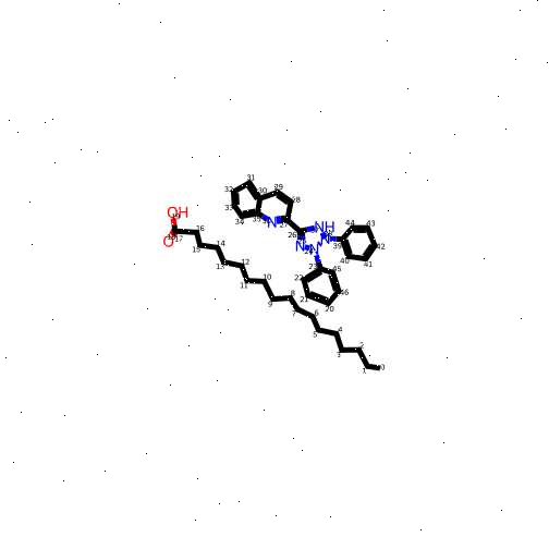 CCCCCCCCCCCCCCCCCC(=O)O.c1ccc(N2N=C(c3ccc4ccccc4n3)NN2c2ccccc2)cc1